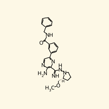 COC[C@H]1CCCN1NC(=N)c1nc(-c2cccc(C(=O)NCc3ccccc3)c2)cnc1N